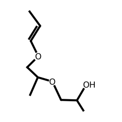 CC=COCC(C)OCC(C)O